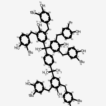 CC(C)c1cc(Cc2cc(C(C)(c3ccc(C(C)(C)c4cc(Cc5ccc(O)c(C(C)(C)C)c5)c(O)c(Cc5ccc(O)c(C(C)(C)C)c5)c4)cc3)c3cc(Cc4ccc(O)c(C(C)(C)C)c4)c(O)c(Cc4ccc(O)c(C(C)(C)C)c4)c3)cc(Cc3ccc(O)c(C(C)(C)C)c3)c2O)ccc1O